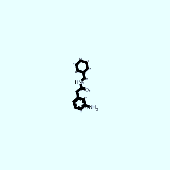 Nc1cccc(CC(=O)NCC2CCCCC2)c1